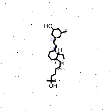 C[C@H](CCCC(C)(C)O)[C@H]1CC[C@H]2/C(=C/C=C3/CC(O)CC(F)C3)CCC[C@]12C